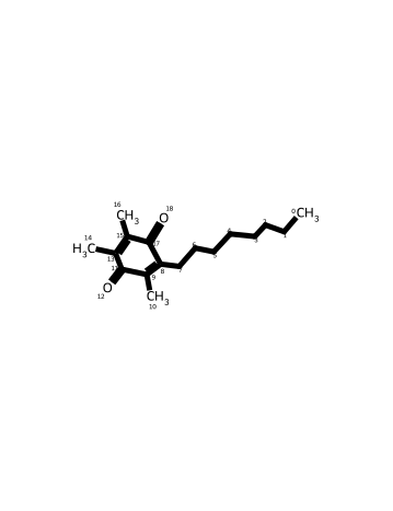 CCCCCCCCC1=C(C)C(=O)C(C)=C(C)C1=O